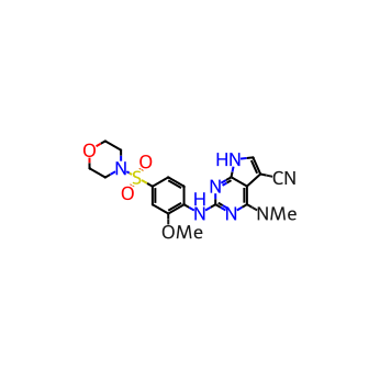 CNc1nc(Nc2ccc(S(=O)(=O)N3CCOCC3)cc2OC)nc2[nH]cc(C#N)c12